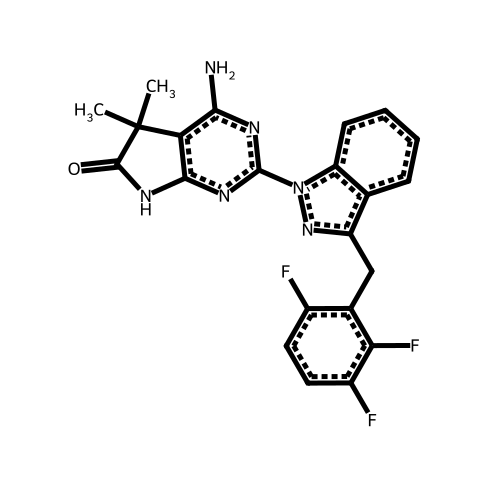 CC1(C)C(=O)Nc2nc(-n3nc(Cc4c(F)ccc(F)c4F)c4ccccc43)nc(N)c21